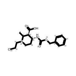 CC1[C@@H](C(=O)O)[C@H](NC(=O)OCc2ccccc2)CCN1CCCl